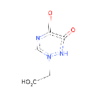 O=C(O)Cn1[c]nc(=O)c(=O)[nH]1